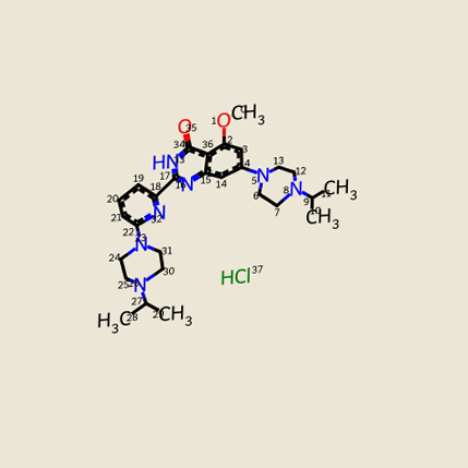 COc1cc(N2CCN(C(C)C)CC2)cc2nc(-c3cccc(N4CCN(C(C)C)CC4)n3)[nH]c(=O)c12.Cl